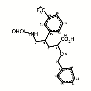 O=CNCC(CC(OCc1ccccc1)C(=O)O)c1cccc(C(F)(F)F)c1